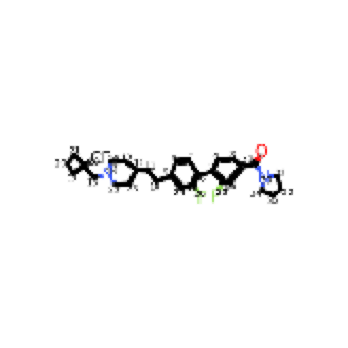 O=C(c1ccc(-c2ccc(CCC3CCN(CC4(C(F)(F)F)CCC4)CC3)cc2F)c(F)c1)N1CCCC1